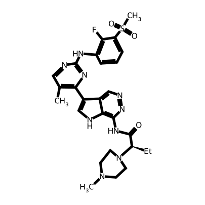 CC[C@H](C(=O)Nc1nncc2c(-c3nc(Nc4cccc(S(C)(=O)=O)c4F)ncc3C)c[nH]c12)N1CCN(C)CC1